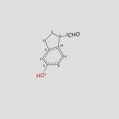 O=CC1CCc2cc(O)ccc21